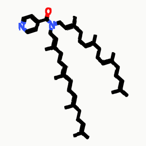 CC(C)=CCC/C(C)=C/CC/C(C)=C/CC/C(C)=C/CN(C/C=C(\C)CC/C=C(\C)CC/C=C(\C)CCC=C(C)C)C(=O)c1ccncc1